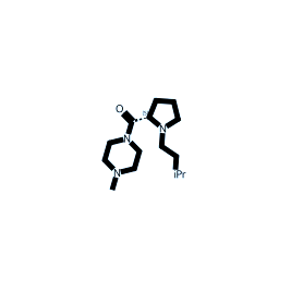 CC(C)CCN1CCC[C@H]1C(=O)N1CCN(C)CC1